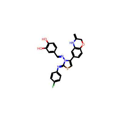 C=C1COc2ccc(-c3cs/c(=N\c4ccc(F)cc4)n3/N=C/c3ccc(O)c(O)c3)cc2N1